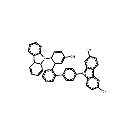 N#CC1=CC(c2ccccc2-c2ccc(-n3c4ccc(C#N)cc4c4ccc(C#N)cc43)cc2)C(N2c3ccccc3C3C=CC=CC32)C=C1